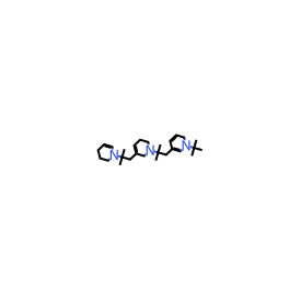 CC(C)(C)N1C=C(CC(C)(C)N2CCC=C(CC(C)(C)N3C=CCCC3)C2)C=CC1